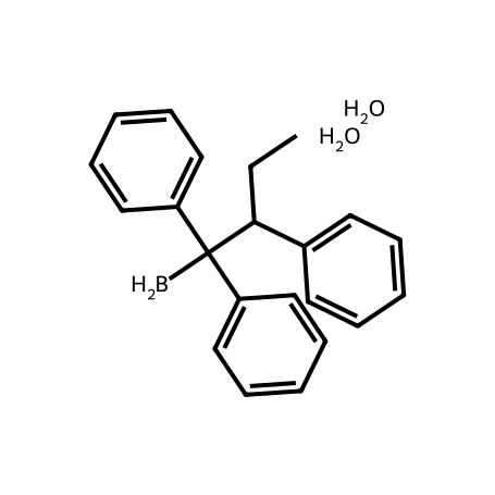 BC(c1ccccc1)(c1ccccc1)C(CC)c1ccccc1.O.O